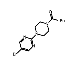 CC(C)(C)C(=O)N1CCN(c2ncc(Br)cn2)CC1